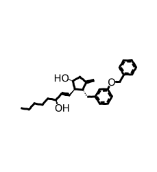 C=C1C[C@@H](O)[C@H](C=C[C@@H](O)CCCCC)[C@H]1Cc1cccc(OCc2ccccc2)c1